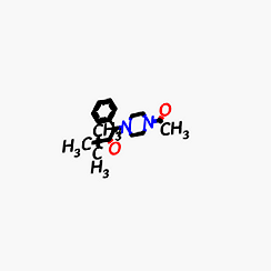 CC(=O)N1CCN([C@@H](C(=O)C(C)(C)C)c2ccccc2)CC1